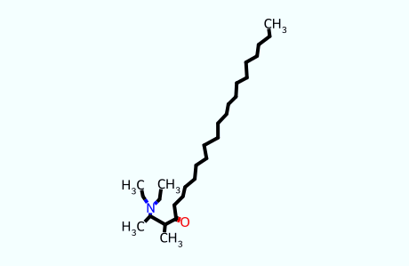 CCCCCCCCCCCCCCCCCCCC(=O)C(C)C(C)N(CC)CC